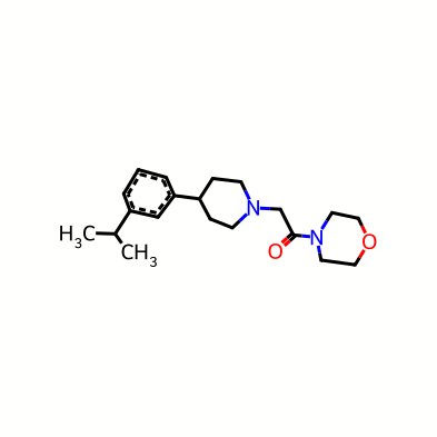 CC(C)c1cccc(C2CCN(CC(=O)N3CCOCC3)CC2)c1